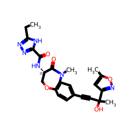 CCc1nnc(C(=O)N[C@H]2COc3ccc(C#CC(C)(O)c4cc(C)on4)cc3N(C)C2=O)[nH]1